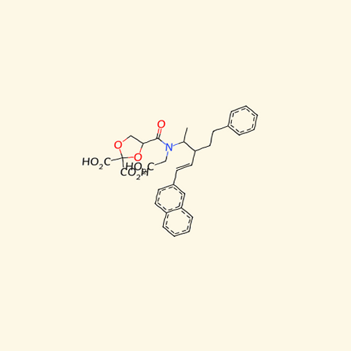 CC(C(C=Cc1ccc2ccccc2c1)CCc1ccccc1)N(CC(=O)O)C(=O)C1COC(C(=O)O)(C(=O)O)O1